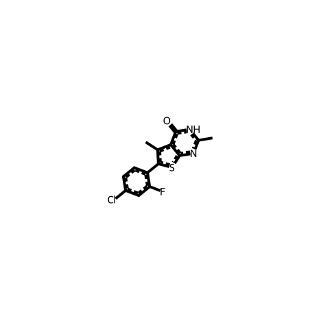 Cc1nc2sc(-c3ccc(Cl)cc3F)c(C)c2c(=O)[nH]1